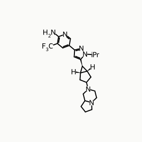 CC(C)n1nc(-c2cnc(N)c(C(F)(F)F)c2)cc1[C@H]1[C@@H]2CC(N3CCN4CCCC4C3)C[C@@H]21